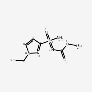 CC(C)(C)OC(=O)N=S(N)(=O)c1ccn(CF)n1